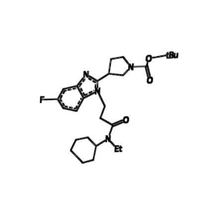 CCN(C(=O)CCn1c(C2CCN(C(=O)OC(C)(C)C)C2)nc2cc(F)ccc21)C1CCCCC1